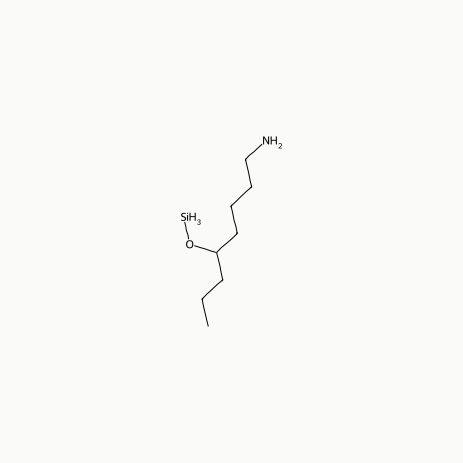 CCCC(CCCCN)O[SiH3]